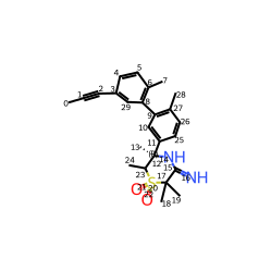 CC#Cc1ccc(C)c(-c2cc([C@@]3(C)NC(=N)C(C)(C)S(=O)(=O)C3C)ccc2C)c1